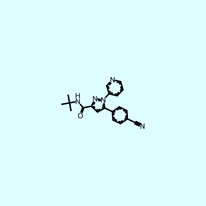 CC(C)(C)NC(=O)c1cc(-c2ccc(C#N)cc2)n(-c2cccnc2)n1